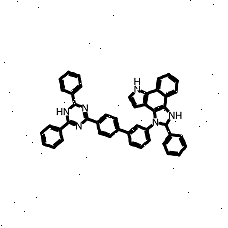 c1ccc(C2=NC(c3ccc(-c4cccc(N5c6c(c7ccccc7c7[nH]ccc67)NC5c5ccccc5)c4)cc3)=NC(c3ccccc3)N2)cc1